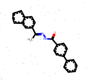 C/C(=N\NC(=O)c1ccc(-c2ccccc2)cc1)c1ccc2ccccc2c1